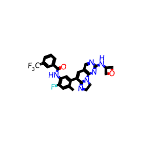 Cc1cc(F)c(NC(=O)c2cccc(C(F)(F)F)c2)cc1C1=Cc2cnc(NC3COC3)nc2N2CCN=C12